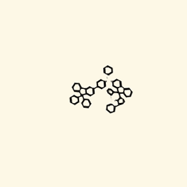 c1ccc(N(c2ccc(-c3ccc4c(c3)-c3ccccc3C4(c3ccccc3)c3ccccc3)cc2)c2ccc3c(c2)C2(c4ccccc4-3)c3ccccc3-n3c4ccccc4c4cccc2c43)cc1